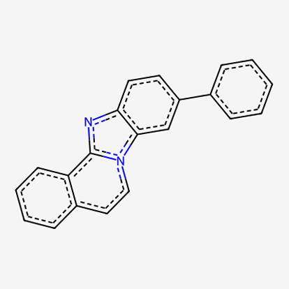 c1ccc(-c2ccc3nc4c5ccccc5ccn4c3c2)cc1